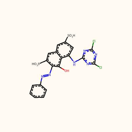 O=S(=O)(O)c1cc(Nc2nc(Cl)nc(Cl)n2)c2c(O)c(/N=N/c3ccccc3)c(S(=O)(=O)O)cc2c1